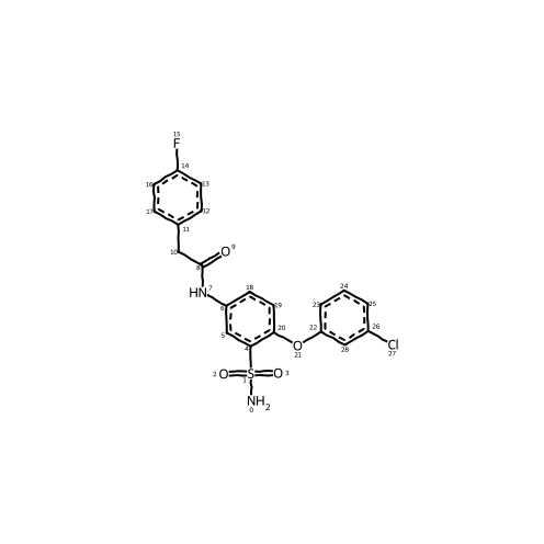 NS(=O)(=O)c1cc(NC(=O)Cc2ccc(F)cc2)ccc1Oc1cccc(Cl)c1